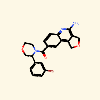 Nc1nc2ccc(C(=O)N3CCOCC3c3cccc(Br)c3)cc2c2c1COC2